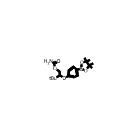 CC(C)(C)C(COC(N)=O)Oc1ccc(B2OC(C)(C)C(C)(C)O2)cc1